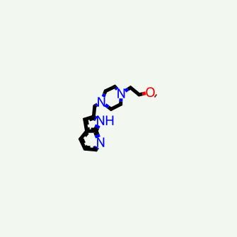 COCCN1CCN(Cc2cc3cccnc3[nH]2)CC1